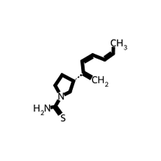 C=C(/C=C\C=C/C)[C@H]1CCN(C(N)=S)C1